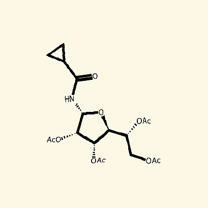 CC(=O)OC[C@@H](OC(C)=O)[C@@H]1O[C@@H](NC(=O)C2CC2)[C@@H](OC(C)=O)[C@H]1OC(C)=O